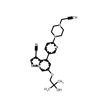 C#CCN1CCN(c2ccc(-c3cc(OCC(C)(C)O)cn4ncc(C#N)c34)cn2)CC1